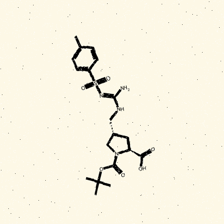 Cc1ccc(S(=O)(=O)/N=C(\N)NC[C@@H]2C[C@@H](C(=O)O)N(C(=O)OC(C)(C)C)C2)cc1